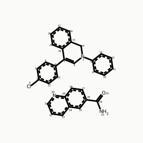 Clc1ccc(C2=CN(c3ccccc3)Cc3ccccc32)cc1.NC(=O)c1ccc2ncccc2c1